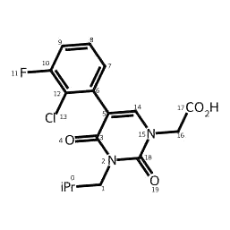 CC(C)Cn1c(=O)c(-c2cccc(F)c2Cl)cn(CC(=O)O)c1=O